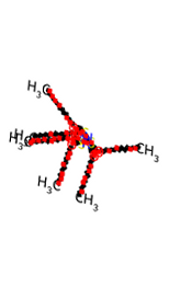 CCCCCCCCCCCCCCCCOc1ccc(Sc2nc(Sc3ccc(OCCCCCCCCCCCCCCCC)c(OCCCCCCCCCCCCCCCC)c3)nc(Sc3ccc(OCCCCCCCCCCCCCCCC)c(OCCCCCCCCCCCCCCCC)c3)n2)cc1OCCCCCCCCCCCCCCCC